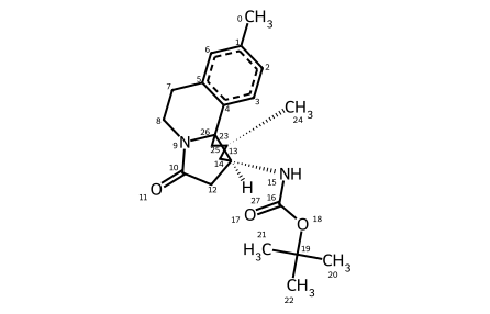 Cc1ccc2c(c1)CCN1C(=O)C[C@H]3[C@H](NC(=O)OC(C)(C)C)[C@@H](C)CC231